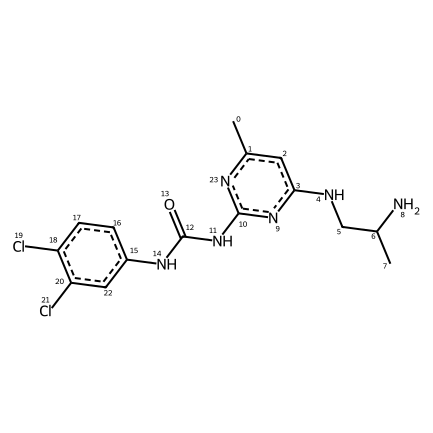 Cc1cc(NCC(C)N)nc(NC(=O)Nc2ccc(Cl)c(Cl)c2)n1